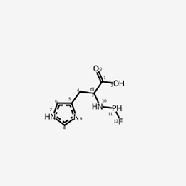 O=C(O)[C@H](Cc1c[nH]cn1)NPF